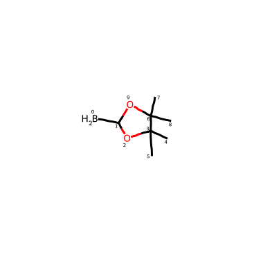 BC1OC(C)(C)C(C)(C)O1